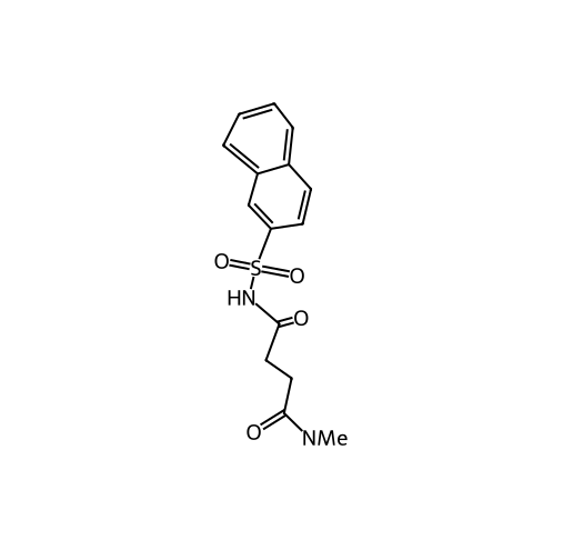 CNC(=O)CCC(=O)NS(=O)(=O)c1ccc2ccccc2c1